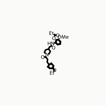 CCOc1ccc(CCC(=O)N2CCC(CC(=O)Nc3cccc(OC)c3OC(=O)CC)CC2)cc1